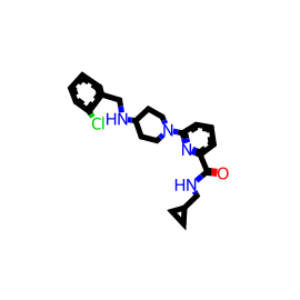 O=C(NCC1CC1)c1cccc(N2CCC(NCc3ccccc3Cl)CC2)n1